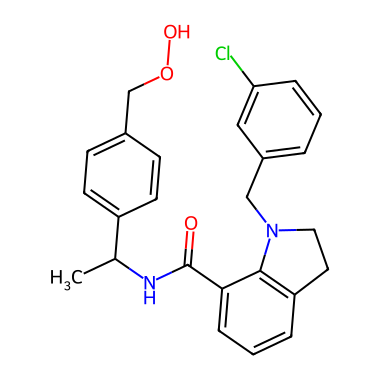 CC(NC(=O)c1cccc2c1N(Cc1cccc(Cl)c1)CC2)c1ccc(COO)cc1